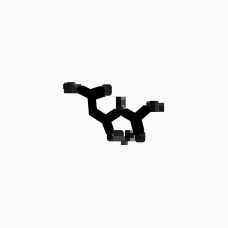 CC(C)(C)C(=O)CC(NC(=O)C(C)(C)C)C(=O)O